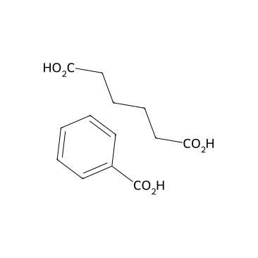 O=C(O)CCCCC(=O)O.O=C(O)c1ccccc1